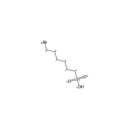 O=S(=O)(O)CCCCCCBr